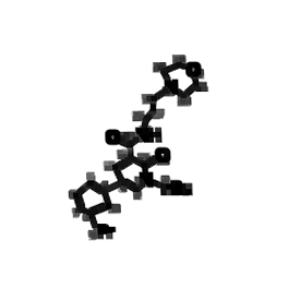 CCCCn1cc(-c2cccc(C(C)C)c2)cc(C(=O)NCCCN2CCOCC2)c1=O